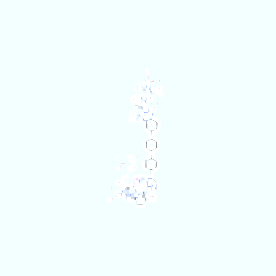 COCCOc1c(-c2ccc(-c3ccc4nc([C@@H]5CCCN5C(=O)[C@@H](NC(=O)OC)C(C)C)[nH]c4c3)cc2)ccc(-c2cnc([C@@H]3[C@H]4CC[C@H](C4)N3C(=O)[C@@H](NC(=O)OC)C(C)C)[nH]2)c1OCCOC